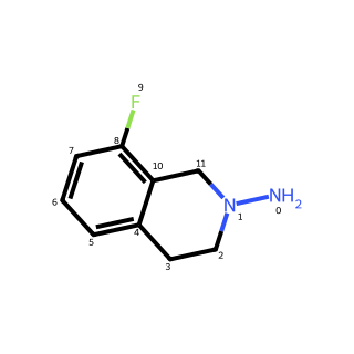 NN1CCc2cccc(F)c2C1